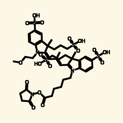 COCCN1/C(=C/C(C)=C/C2=[N+](CCCCCC(=O)ON3C(=O)CCC3=O)c3ccc(S(=O)(=O)O)cc3C2(C)CCCS(=O)(=O)O)C(C)(CCCS(=O)(=O)O)c2cc(S(=O)(=O)O)ccc21